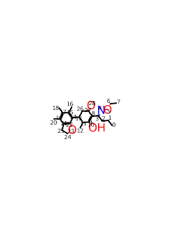 CCCC(=NOCC)C1=C(O)C(C)C(c2c(C)c(C)c(C)c3c2OCC3)CC1=O